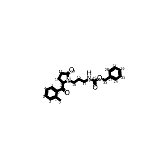 Cc1ccccc1C(=O)C1CCC(=O)N1CCCNC(=O)OCc1ccccc1